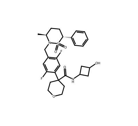 C[C@H]1CC[C@H](c2ccccc2)S(=O)(=O)N1Cc1cc(F)c(C2(C(=O)NC3CC(O)C3)CCOCC2)cc1F